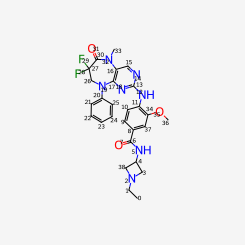 CCN1CC(NC(=O)c2ccc(Nc3ncc4c(n3)N(c3ccccc3)CC(F)(F)C(=O)N4C)c(OC)c2)C1